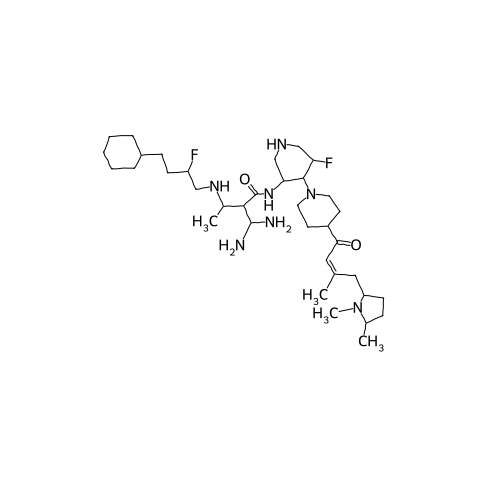 C/C(=C/C(=O)C1CCN(C2C(F)CNCC2NC(=O)C(C(N)N)C(C)NCC(F)CCC2CCCCC2)CC1)CC1CCC(C)N1C